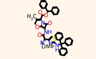 CO/N=C(/C(=O)NC1C(=O)N2C(C(=O)OC(c3ccccc3)c3ccccc3)=C(C)COC12)c1csc(NC(c2ccccc2)(c2ccccc2)c2ccccc2)n1